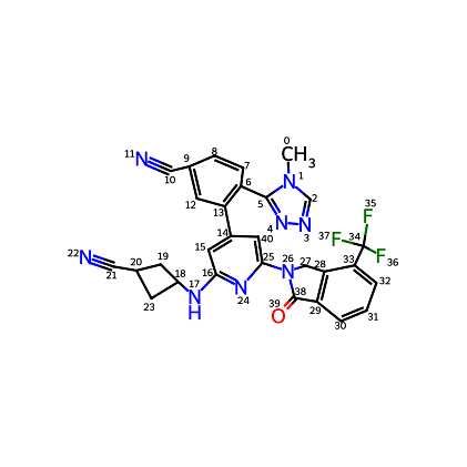 Cn1cnnc1-c1ccc(C#N)cc1-c1cc(NC2CC(C#N)C2)nc(N2Cc3c(cccc3C(F)(F)F)C2=O)c1